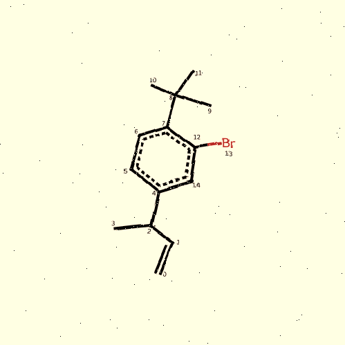 C=C[C](C)c1ccc(C(C)(C)C)c(Br)c1